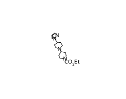 CCOC(=O)N1CCC(N2CCC(n3cccn3)CC2)CC1